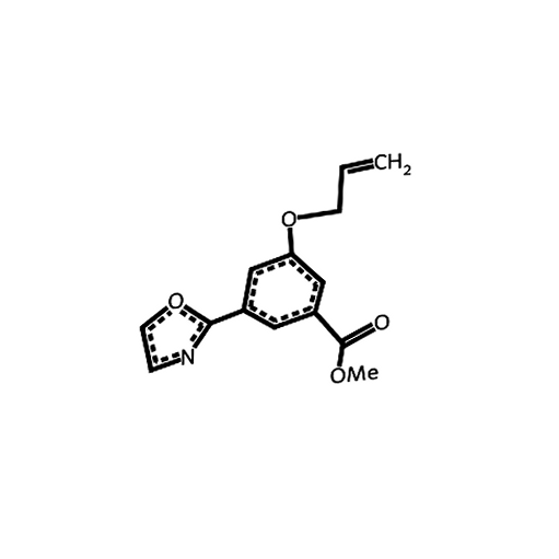 C=CCOc1cc(C(=O)OC)cc(-c2ncco2)c1